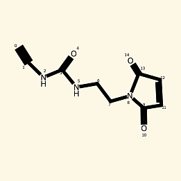 C#CNC(=O)NCCN1C(=O)C=CC1=O